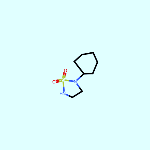 O=S1(=O)NCCN1C1CCCCC1